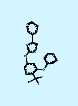 FC(F)(F)c1ccc(Nc2nc(-c3cccnc3)cs2)cc1Oc1ccccc1